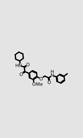 COc1cc(C(=O)C(=O)NC2CCCCC2)ccc1OCC(=O)Nc1cccc(C)c1